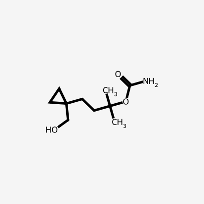 CC(C)(CCC1(CO)CC1)OC(N)=O